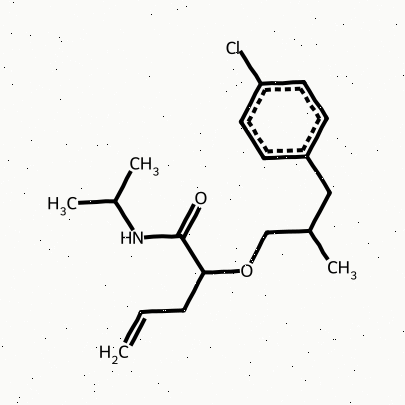 C=CCC(OCC(C)Cc1ccc(Cl)cc1)C(=O)NC(C)C